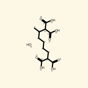 CC(CCCCC(C(=O)O)C(=O)O)C(C(=O)O)C(=O)O.Cl